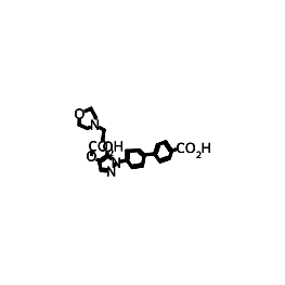 O=C(O)Oc1cnn(-c2ccc(-c3ccc(C(=O)O)cc3)cc2)c1OCCN1CCOCC1